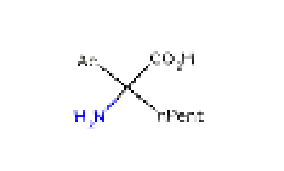 CCCCCC(N)(C(C)=O)C(=O)O